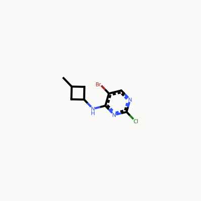 CC1CC(Nc2nc(Cl)ncc2Br)C1